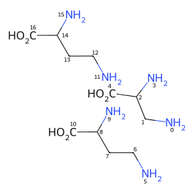 NCC(N)C(=O)O.NCCC(N)C(=O)O.NCCC(N)C(=O)O